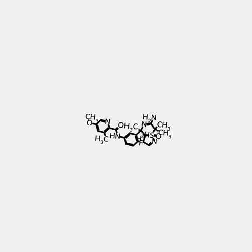 COc1cnc(C(=O)Nc2ccc(F)c([C@@]3(C)N=C(N)C(C)(C)[SH]4(=O)N=CC[C@@H]34)c2)c(C)c1